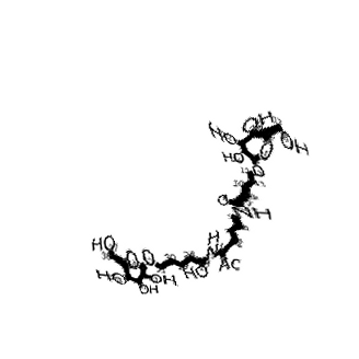 CC(=O)C(CCCCNC(=O)CCCCOC1OC(CO)C(O)C(O)C1O)NC(O)CCCCOC1OC(CO)C(O)C(O)C1O